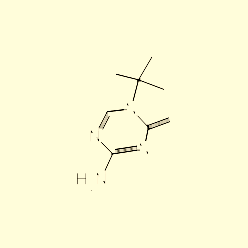 C=C1N=C(N)N=CN1C(C)(C)C